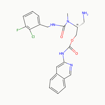 CN(C(=O)NCc1cccc(F)c1Cl)[C@H](CN)COC(=O)Nc1cc2ccccc2cn1